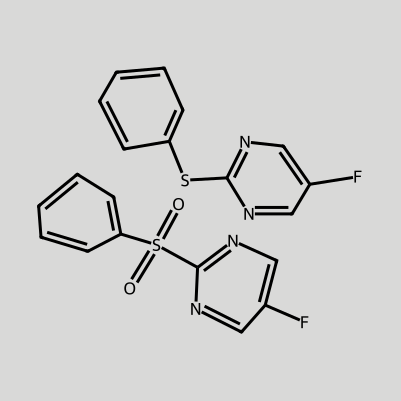 Fc1cnc(Sc2ccccc2)nc1.O=S(=O)(c1ccccc1)c1ncc(F)cn1